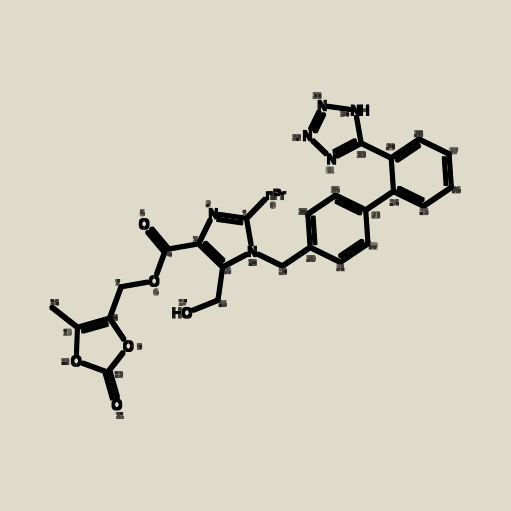 CCCc1nc(C(=O)OCc2oc(=O)oc2C)c(CO)n1Cc1ccc(-c2ccccc2-c2nnn[nH]2)cc1